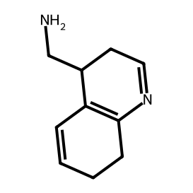 NCC1CC=NC2=C1C=CCC2